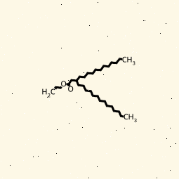 C=CCOC(=O)CC(CCCCCCCCCCCC)CCCCCCCCCCCCCC